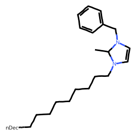 CCCCCCCCCCCCCCCCCCCN1C=CN(Cc2ccccc2)C1C